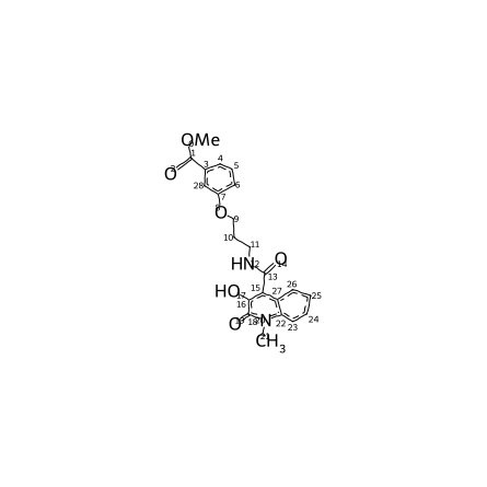 COC(=O)c1cccc(OCCCNC(=O)c2c(O)c(=O)n(C)c3ccccc23)c1